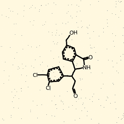 O=CCC(c1ccc(Cl)c(Cl)c1)C1NC(=O)c2cc(CO)ccc21